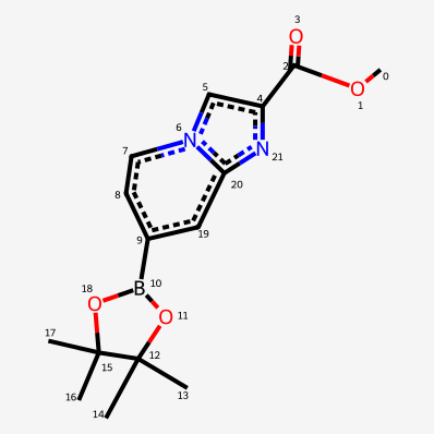 COC(=O)c1cn2ccc(B3OC(C)(C)C(C)(C)O3)cc2n1